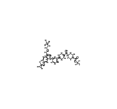 CC(C)(C)OC(=O)N1CCC(C(=O)N2CCN(c3cc(-c4nn(COCC[Si](C)(C)C)c5ccc(OC6(C)CC6)cc45)ccn3)CC2)CC1